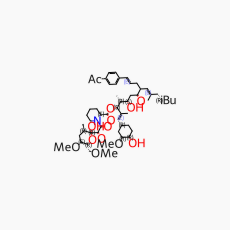 CC[C@@H](C)C/C(C)=C/C(C/C=C/c1ccc(C(C)=O)cc1)C(=O)C[C@H](O)[C@@H](C)[C@H](OC(=O)[C@@H]1CCCCN1C(=O)C(=O)[C@]1(O)O[C@H](COC)[C@@H](OC)C[C@H]1C)/C(C)=C/[C@@H]1CC[C@@H](O)[C@H](OC)C1